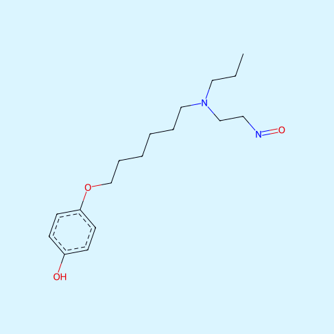 CCCN(CCCCCCOc1ccc(O)cc1)CCN=O